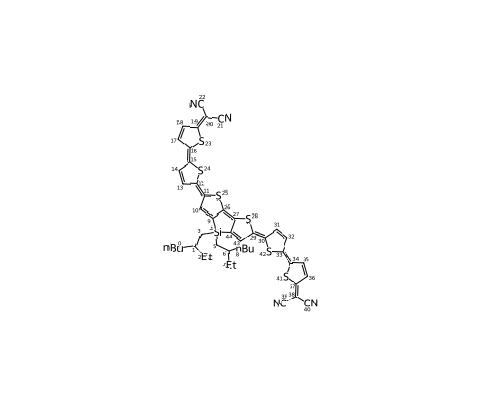 CCCCC(CC)C[Si]1(CC(CC)CCCC)c2c/c(=c3\cc/c(=c4\ccc(=C(C#N)C#N)s4)s3)sc2=c2s/c(=c3\cc/c(=c4\ccc(=C(C#N)C#N)s4)s3)cc21